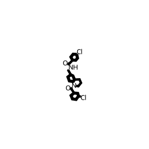 O=C(NCc1ccc2c(c1)CCCN2C(=O)c1cccc(Cl)c1)c1ccc(Cl)cc1